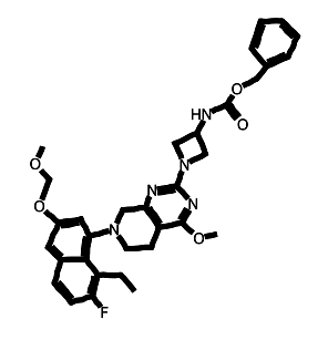 CCc1c(F)ccc2cc(OCOC)cc(N3CCc4c(nc(N5CC(NC(=O)OCc6ccccc6)C5)nc4OC)C3)c12